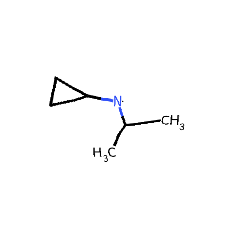 CC(C)[N]C1CC1